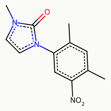 Cc1cc(C)c([N+](=O)[O-])cc1-n1ccn(C)c1=O